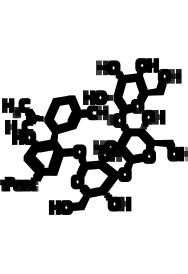 C=C(C)[C@@H]1CCC(C)=C[C@H]1c1c(O)cc(CCCCC)cc1O[C@@H]1O[C@H](CO)[C@@H](O)[C@H](O[C@@H]2O[C@H](CO)[C@@H](O)[C@H](O[C@@H]3O[C@H](CO)[C@@H](O)[C@H](O)[C@H]3O)[C@H]2O)[C@H]1O